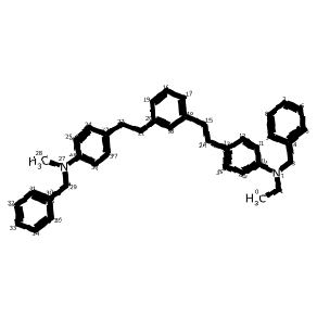 CCN(Cc1ccccc1)c1ccc(CCc2cccc(CCc3ccc(N(C)Cc4ccccc4)cc3)c2)cc1